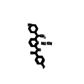 CN(c1cccc(NC(=O)c2ccc(F)cc2)n1)C1CCNCC1.Cl.Cl